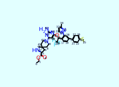 CCOC(=O)C1CC2(CCN(c3cc(O[C@H](c4ccc(-c5ccc(SC)cc5)cc4-n4ccc(C)n4)C(F)(F)F)nc(N)n3)CC2)CN1